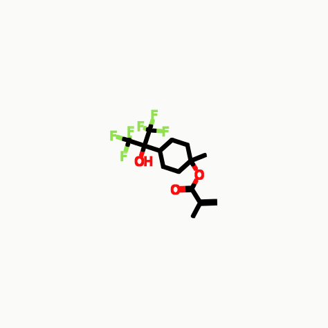 C=C(C)C(=O)OC1(C)CCC(C(O)(C(F)(F)F)C(F)(F)F)CC1